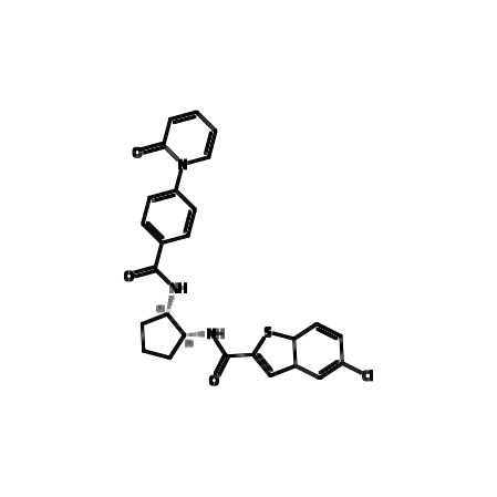 O=C(N[C@@H]1CCC[C@@H]1NC(=O)c1ccc(-n2ccccc2=O)cc1)C1=CC2C=C(Cl)C=CC2S1